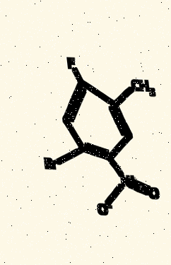 Cc1cc([N+](=O)[O-])c(Br)cc1F